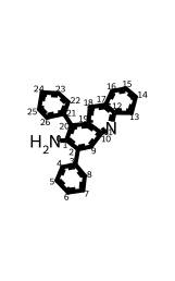 Nc1c(-c2ccccc2)cc2nc3ccccc3cc2c1-c1ccccc1